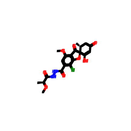 COc1cc(C(=O)NNC(=O)[C@H](C)OC)c(Cl)c2c1C(=O)[C@@]1(O2)C(O)=CC(=O)C[C@H]1C